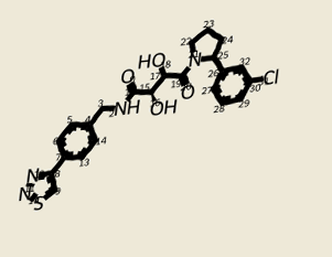 O=C(NCc1ccc(-c2csnn2)cc1)[C@H](O)C(O)C(=O)N1CCCC1c1cccc(Cl)c1